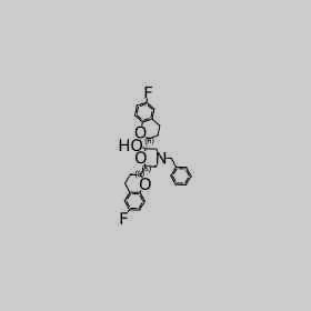 OC1([C@H]2CCc3cc(F)ccc3O2)CN(Cc2ccccc2)C[C@@H]([C@@H]2CCc3cc(F)ccc3O2)O1